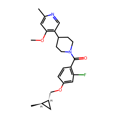 COc1cc(C)ncc1C1CCN(C(=O)c2ccc(OC[C@@H]3C[C@H]3C)cc2F)CC1